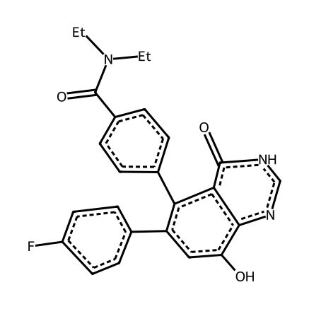 CCN(CC)C(=O)c1ccc(-c2c(-c3ccc(F)cc3)cc(O)c3nc[nH]c(=O)c23)cc1